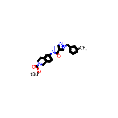 CC(C)(C)OC(=O)N1CCc2cc(NC(=O)c3cnn(Cc4cccc(C(F)(F)F)c4)c3)ccc2C1